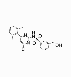 Cc1cccc(C)c1-c1cc(Cl)nc(NS(=O)(=O)c2cccc(CO)c2)n1